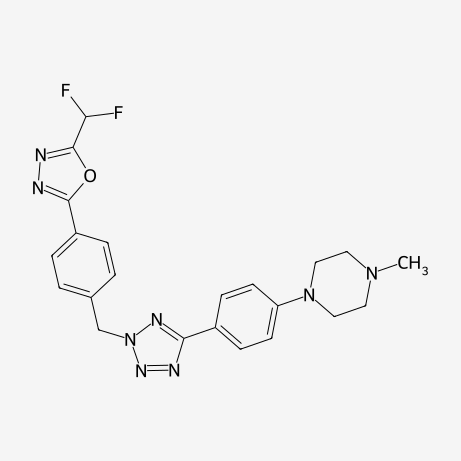 CN1CCN(c2ccc(-c3nnn(Cc4ccc(-c5nnc(C(F)F)o5)cc4)n3)cc2)CC1